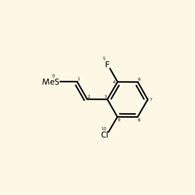 CS/C=C/c1c(F)cccc1Cl